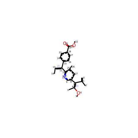 C=C(C)/C(=C(/C)OC)c1cnc(/C(=C\C)c2ccc(C(=O)OC)cc2)c(C)c1